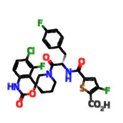 O=C1Nc2ccc(Cl)c(F)c2[C@@]2(CCCN(C(=O)[C@H](Cc3ccc(F)cc3)NC(=O)c3cc(F)c(C(=O)O)s3)C2)O1